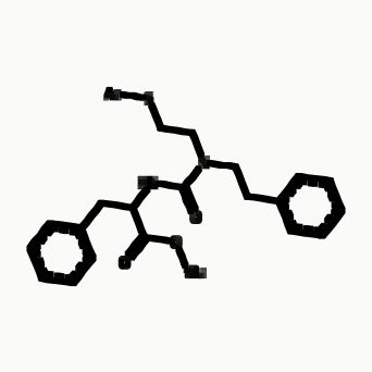 CC(=O)SCCN(CCc1ccccc1)C(=O)NC(Cc1ccccc1)C(=O)OC(C)(C)C